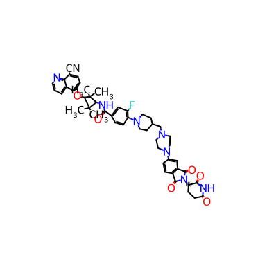 CC1(C)C(NC(=O)c2ccc(N3CCC(CN4CCN(c5ccc6c(c5)C(=O)N([C@H]5CCC(=O)NC5=O)C6=O)CC4)CC3)c(F)c2)C(C)(C)C1Oc1ccc(C#N)c2ncccc12